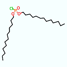 CCCCCCCCCCCCCOP(=O)(Cl)OCCCCCCCCCCCCC